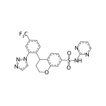 O=S(=O)(Nc1ncccn1)c1ccc2c(c1)OCCC2c1ccc(C(F)(F)F)cc1-n1ccnn1